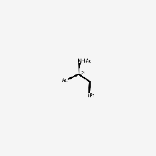 CC(=O)N[C@@H](CC(C)C)C(C)=O